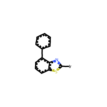 [Ir][c]1nc2c(-c3ccccc3)cccc2s1